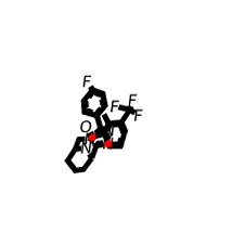 Cc1c(C(=O)N2C3CCCC2c2nnc(-c4ccc(F)cc4)n2C3)cccc1C(F)(F)F